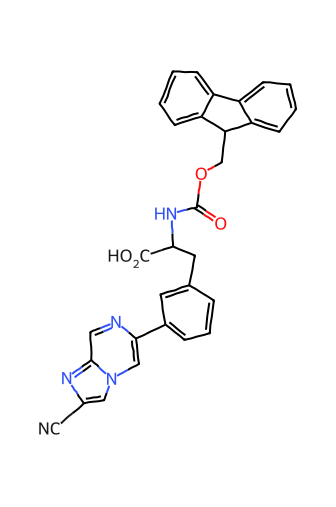 N#Cc1cn2cc(-c3cccc(CC(NC(=O)OCC4c5ccccc5-c5ccccc54)C(=O)O)c3)ncc2n1